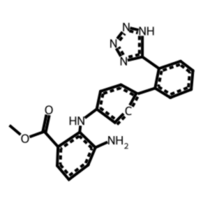 COC(=O)c1cccc(N)c1Nc1ccc(-c2ccccc2-c2nnn[nH]2)cc1